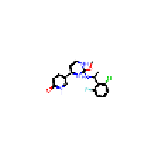 COC1(NC(C)c2c(F)cccc2Cl)N=C(c2ccc(=O)[nH]c2)C=CN1